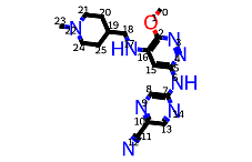 COc1nnc(Nc2cnc(C#N)cn2)cc1NCC1CCN(C)CC1